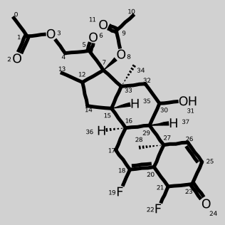 CC(=O)OCC(=O)[C@@]1(OC(C)=O)C(C)C[C@H]2[C@@H]3CC(F)=C4C(F)C(=O)C=C[C@]4(C)[C@H]3C(O)C[C@@]21C